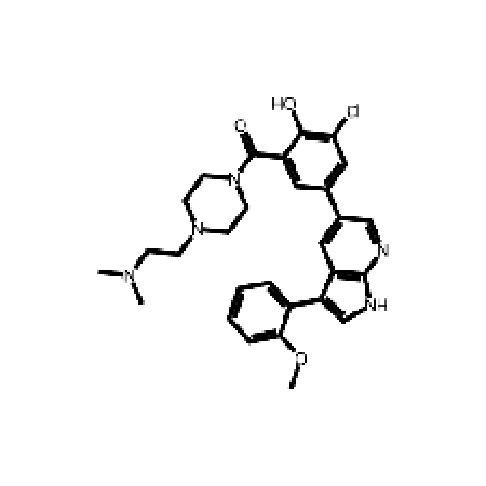 COc1ccccc1-c1c[nH]c2ncc(-c3cc(Cl)c(O)c(C(=O)N4CCN(CCN(C)C)CC4)c3)cc12